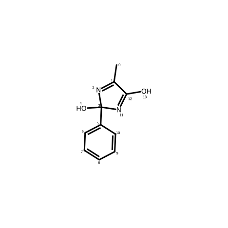 CC1=NC(O)(c2ccccc2)N=C1O